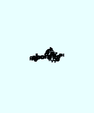 CCc1c(F)ccc2cc(O)cc(-c3ncc4c(N5CC6CCC(C5)N6)nc(OCC5(CN6CCC7(CCC(OC8CCN(c9cc(F)c(C%10CCC(=O)NC%10=O)c(F)c9)CC8)CC7)CC6)CC5)nc4c3F)c12